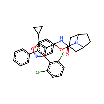 O=C(Nc1ccc(-c2ccccc2)cc1)N1C2CCC1CC(OCc1c(-c3c(Cl)cccc3Cl)noc1C1CC1)C2